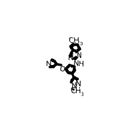 Cc1ccc2nc(Nc3cc(OCc4ccncc4)cc(-c4cnn(C)c4)c3)ncc2c1